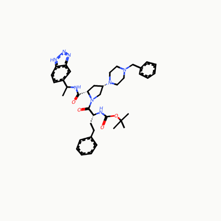 CC(NC(=O)[C@@H]1C[C@H](N2CCN(Cc3ccccc3)CC2)CN1C(=O)[C@@H](CCc1ccccc1)NC(=O)OC(C)(C)C)c1ccc2[nH]nnc2c1